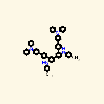 Cc1ccc(Nc2ccc(-c3ccc(Nc4ccc(C)cc4)c(-c4ccc(-c5ccc(N(c6ccccc6)c6ccccc6)cc5)cc4)c3)cc2-c2ccc(-c3ccc(N(c4ccccc4)c4ccccc4)cc3)cc2)cc1